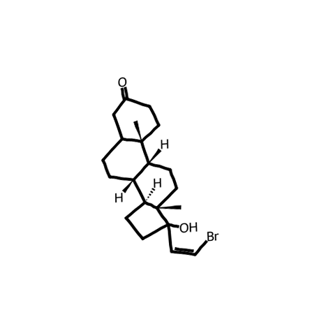 C[C@]12CCC(=O)CC1CC[C@@H]1[C@H]2CC[C@@]2(C)[C@H]1CCC2(O)/C=C\Br